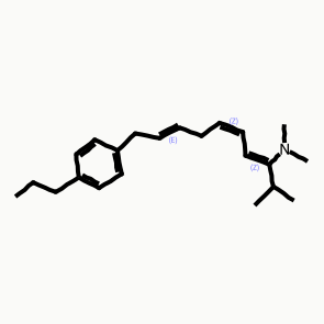 CCCc1ccc(C/C=C/C/C=C\C=C(\C(C)C)N(C)C)cc1